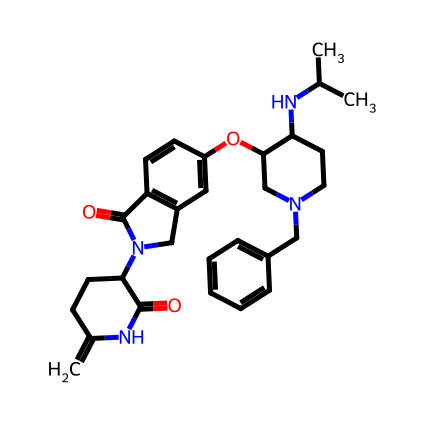 C=C1CCC(N2Cc3cc(OC4CN(Cc5ccccc5)CCC4NC(C)C)ccc3C2=O)C(=O)N1